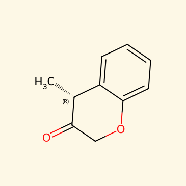 C[C@H]1C(=O)COc2ccccc21